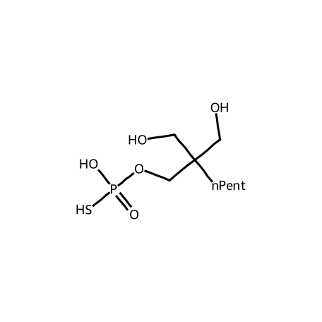 CCCCCC(CO)(CO)COP(=O)(O)S